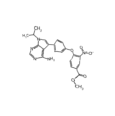 COC(=O)c1ccc(Oc2ccc(-c3cn(C(C)C)c4ncnc(N)c34)cc2)c([N+](=O)[O-])c1